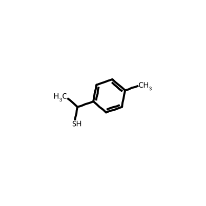 Cc1ccc(C(C)S)cc1